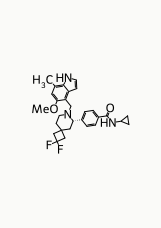 COc1cc(C)c2[nH]ccc2c1CN1CCC2(C[C@H]1c1ccc(C(=O)NC3CC3)cc1)CC(F)(F)C2